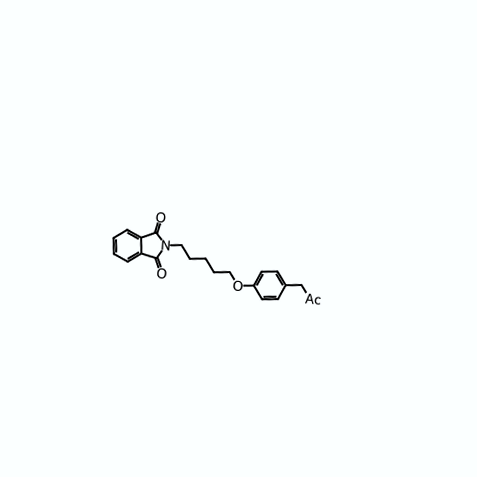 CC(=O)Cc1ccc(OCCCCCN2C(=O)c3ccccc3C2=O)cc1